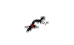 C[C@]12C=CC(=O)C=C1[C@@H](F)C[C@H]1[C@@H]3C[C@H]4O[C@@H](c5ccc(OC6CCC(NC(=O)[C@H](CCC(=O)O)NC(=O)CNC(=O)CBr)CC6)cc5)O[C@@]4(C(=O)COP(=O)(O)O)[C@@]3(C)C[C@H](O)[C@@]12F